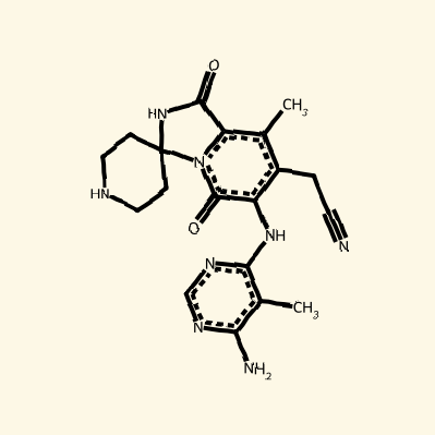 Cc1c(N)ncnc1Nc1c(CC#N)c(C)c2n(c1=O)C1(CCNCC1)NC2=O